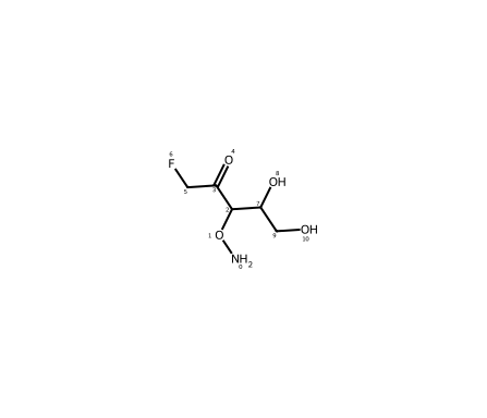 NOC(C(=O)CF)C(O)CO